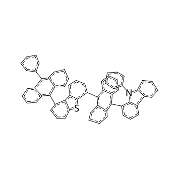 c1ccc(-c2c3ccccc3c(-c3cccc4sc5c(-c6c7ccccc7c(-c7cccc8c9ccccc9n(-c9ccccc9)c78)c7ccccc67)cccc5c34)c3ccccc23)cc1